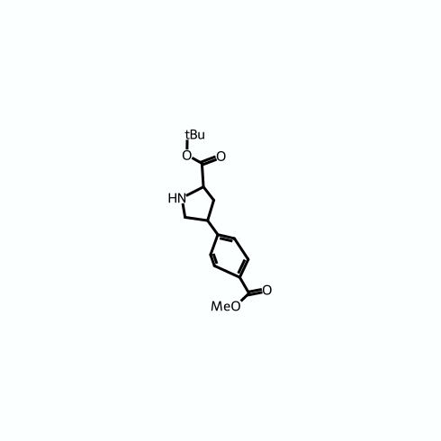 COC(=O)c1ccc(C2CNC(C(=O)OC(C)(C)C)C2)cc1